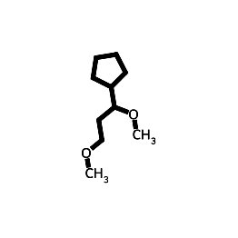 COCCC(OC)C1CCCC1